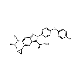 C=S(C)N(CC)c1cc2nn(-c3ccc(Oc4ccc(F)cc4)nc3)c(C(=O)NC)c2cc1C1CC1